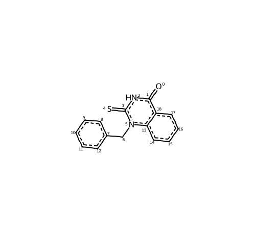 O=c1[nH]c(=S)n(Cc2ccccc2)c2ccccc12